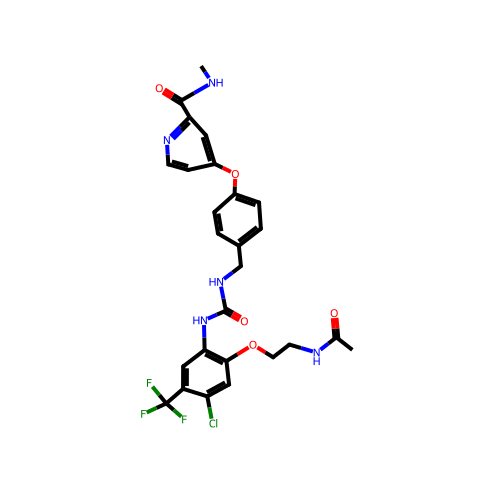 CNC(=O)c1cc(Oc2ccc(CNC(=O)Nc3cc(C(F)(F)F)c(Cl)cc3OCCNC(C)=O)cc2)ccn1